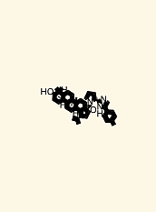 C=C(C)[C@@H]1CC[C@]2(C(=O)N3CCC[C@H]3c3ncc(-c4ccc(C)cc4)[nH]3)CC[C@]3(C)[C@H](CC[C@@H]4[C@@]5(C)CC[C@H](O)C(C)(C)[C@@H]5CC[C@]43C)[C@@H]12